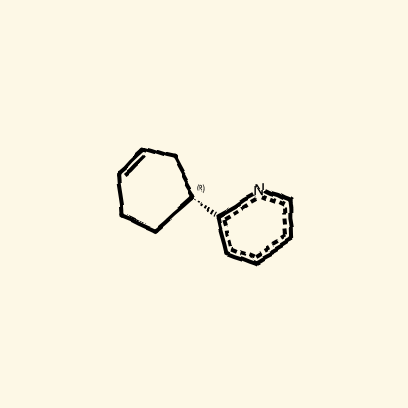 C1=CC[C@H](c2ccccn2)CC1